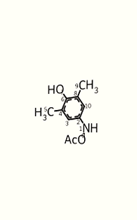 CC(=O)ONc1cc(C)c(O)c(C)c1